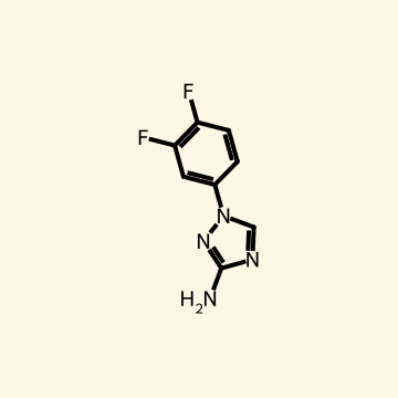 Nc1ncn(-c2ccc(F)c(F)c2)n1